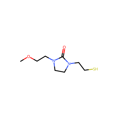 COCCN1CCN(CCS)C1=O